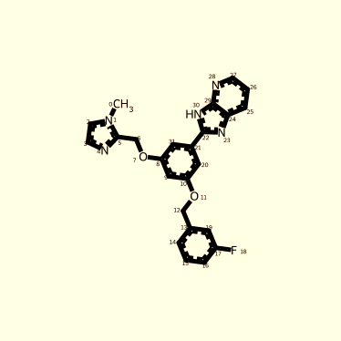 Cn1ccnc1COc1cc(OCc2cccc(F)c2)cc(-c2nc3cccnc3[nH]2)c1